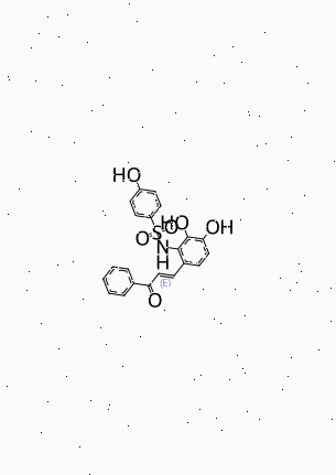 O=C(/C=C/c1ccc(O)c(O)c1NS(=O)(=O)c1ccc(O)cc1)c1ccccc1